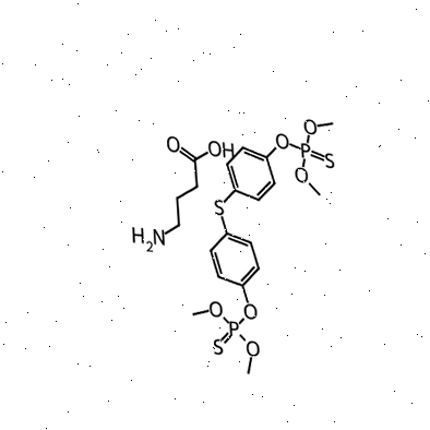 COP(=S)(OC)Oc1ccc(Sc2ccc(OP(=S)(OC)OC)cc2)cc1.NCCCC(=O)O